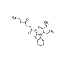 CCOC(=O)CCC(=O)/N=c1\sc2ccccc2n1C(CC)C(=O)OC